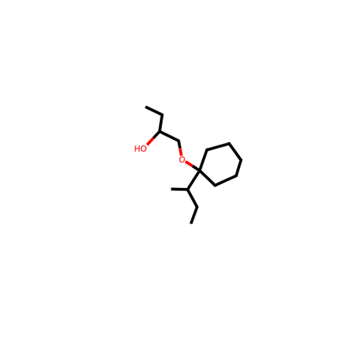 CCC(O)COC1(C(C)CC)CCCCC1